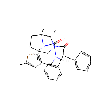 Cc1cc(CN(C)C(=O)N2[C@H]3CC[C@@H]2[C@@H](C(=O)O)N(C(=O)C(c2ccccc2)c2ccccc2)C3)cs1